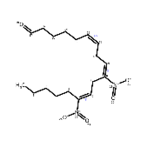 CCCCC/C(=C\C/C(=C\C/C=C\CCCC[C]=O)[N+](=O)[O-])[N+](=O)[O-]